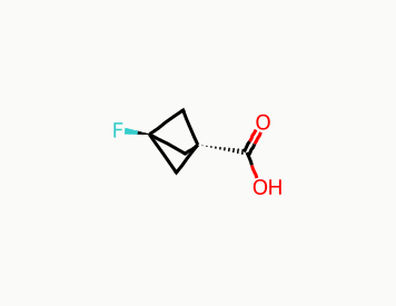 O=C(O)[C@]12C[C@@](F)(C1)C2